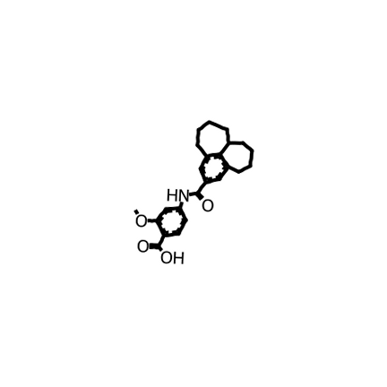 COc1cc(NC(=O)c2cc3c4c(c2)CCCCC4CCCC3)ccc1C(=O)O